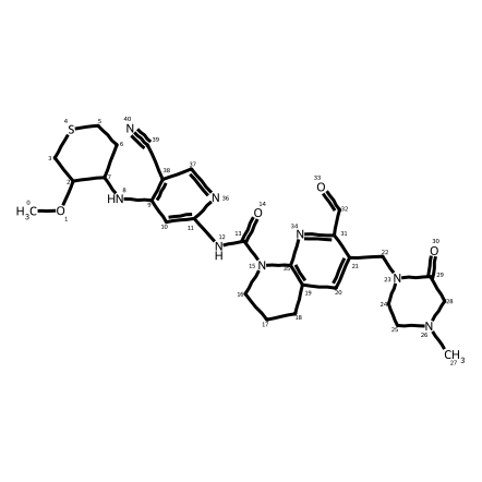 COC1CSCCC1Nc1cc(NC(=O)N2CCCc3cc(CN4CCN(C)CC4=O)c(C=O)nc32)ncc1C#N